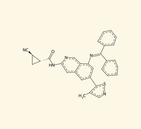 Cc1cnsc1-c1cc(N=C(c2ccccc2)c2ccccc2)c2cnc(NC(=O)[C@@H]3C[C@H]3C#N)cc2c1